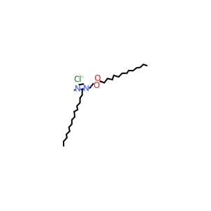 CCCCCCCCCCCCCCCC1=[N+](CCOC(=O)CCCCCCCCCCCCC)CCN1C.[Cl-]